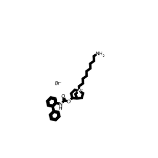 NCCCCCCCCC[N+]12CCC(C1)C(OC(=O)Nc1ccccc1-c1ccccc1)CC2.[Br-]